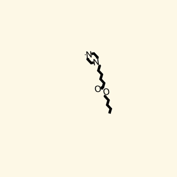 CCCCCOC(=O)CCCCCN1CC[N]CC1